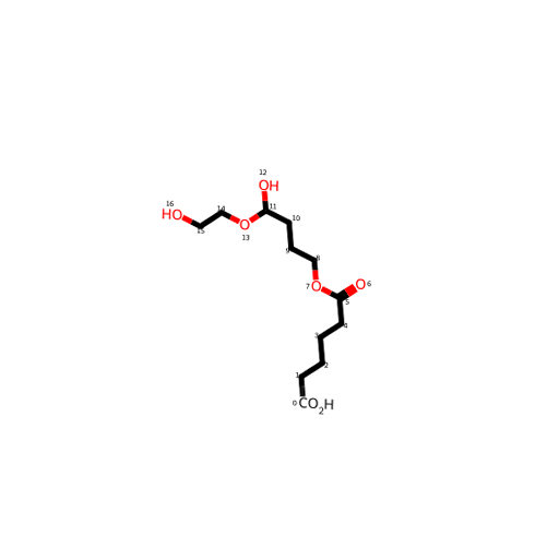 O=C(O)CCCCC(=O)OCCCC(O)OCCO